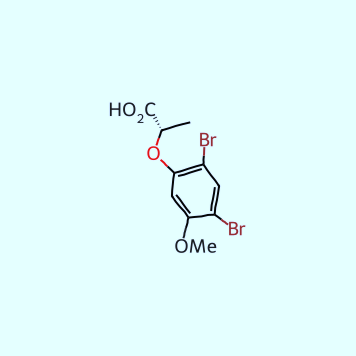 COc1cc(O[C@@H](C)C(=O)O)c(Br)cc1Br